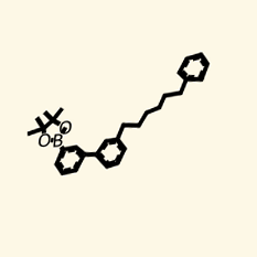 CC1(C)OB(c2cccc(-c3cccc(CCCCCCc4ccccc4)c3)c2)OC1(C)C